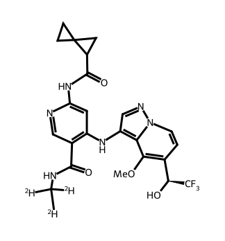 [2H]C([2H])([2H])NC(=O)c1cnc(NC(=O)C2CC23CC3)cc1Nc1cnn2ccc([C@H](O)C(F)(F)F)c(OC)c12